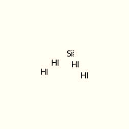 I.I.I.I.[Si]